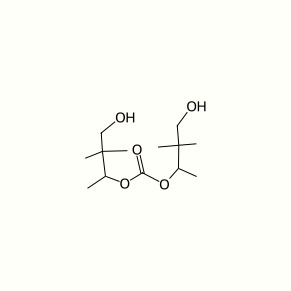 CC(OC(=O)OC(C)C(C)(C)CO)C(C)(C)CO